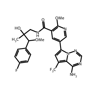 COc1ncc(-c2cc(C(F)(F)F)c3c(N)ncnn23)cc1C(=O)NCC(C)(O)C(OC)c1ccc(F)cc1